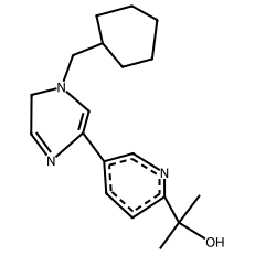 CC(C)(O)c1ccc(C2=CN(CC3CCCCC3)CC=N2)cn1